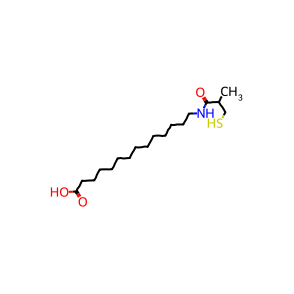 CC(CS)C(=O)NCCCCCCCCCCCCCC(=O)O